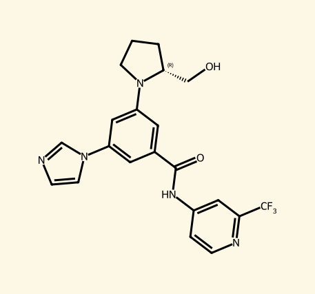 O=C(Nc1ccnc(C(F)(F)F)c1)c1cc(N2CCC[C@@H]2CO)cc(-n2ccnc2)c1